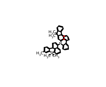 Cc1ccc2c(c1)[Si](C)(C)c1cccc3c(N(c4ccc5c(c4)C(C)(C)c4ccccc4-5)c4ccccc4-c4ccccc4)ccc-2c13